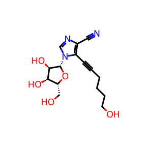 N#Cc1ncn([C@@H]2O[C@H](CO)[C@@H](O)[C@H]2O)c1C#CCCCCO